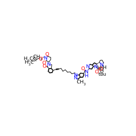 [2H]C([2H])([2H])N1CCC[C@@H]1c1cc2cnc(NC(=O)c3ccc4c(C)nn(CCCCCCCC#Cc5cccc6c5CN(C5CCC(=O)N(COCC[Si](C)(C)C)C5=O)C6=O)c4c3)cc2n1C(=O)OC(C)(C)C